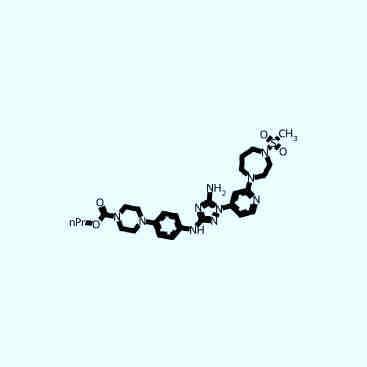 CCCOC(=O)N1CCN(c2ccc(Nc3nc(N)n(-c4ccnc(N5CCCN(S(C)(=O)=O)CC5)c4)n3)cc2)CC1